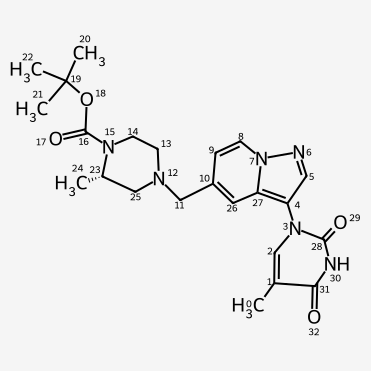 Cc1cn(-c2cnn3ccc(CN4CCN(C(=O)OC(C)(C)C)[C@@H](C)C4)cc23)c(=O)[nH]c1=O